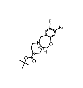 CC(C)(C)OC(=O)N1CCN2Cc3cc(F)c(Br)cc3OC[C@H]2C1